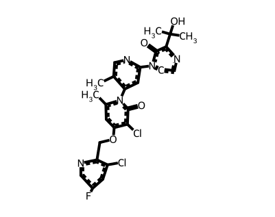 Cc1cnc(-n2ccnc(C(C)(C)O)c2=O)cc1-n1c(C)cc(OCc2ncc(F)cc2Cl)c(Cl)c1=O